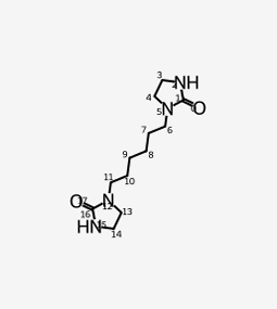 O=C1NCCN1CCCCCCN1CCNC1=O